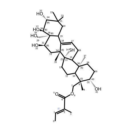 C/C=C(\C)C(=O)OC[C@]1(C)C2CC[C@]3(S)C(CC=C4C5CC(C)(C)[C@@H](O)[C@H](O)[C@]5(CO)[C@H](O)C[C@]43C)[C@@]2(C)CC[C@@H]1O